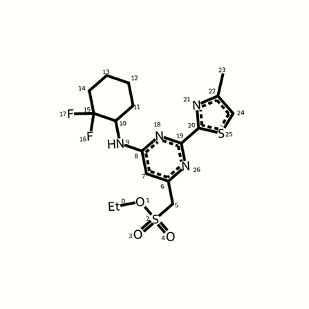 CCOS(=O)(=O)Cc1cc(NC2CCCCC2(F)F)nc(-c2nc(C)cs2)n1